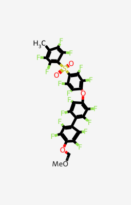 COCOc1c(F)c(F)c(-c2c(F)c(F)c(Oc3c(F)c(F)c(S(=O)(=O)c4c(F)c(F)c(C)c(F)c4F)c(F)c3F)c(F)c2F)c(F)c1F